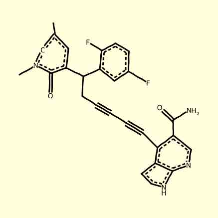 Cc1cc(C(CC#CC#Cc2c(C(N)=O)cnc3[nH]ccc23)c2cc(F)ccc2F)c(=O)n(C)c1